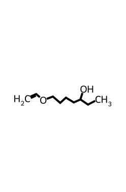 C=COCCCCC(O)CC